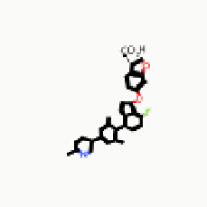 Cc1ccc(-c2cc(C)c(-c3ccc(F)c4c3CC[C@H]4Oc3ccc4c(c3)OC[C@H]4CC(=O)O)c(C)c2)cn1